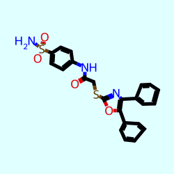 NS(=O)(=O)c1ccc(NC(=O)CSc2nc(-c3ccccc3)c(-c3ccccc3)o2)cc1